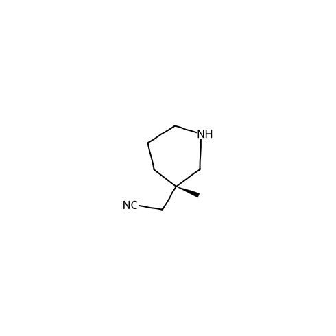 C[C@@]1(CC#N)CCCNC1